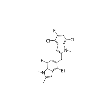 CCc1c(Cc2cc3c(Cl)c(F)cc(Cl)c3n2C)cc(F)c2c1cc(C)n2C